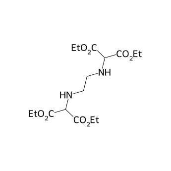 CCOC(=O)C(NCCNC(C(=O)OCC)C(=O)OCC)C(=O)OCC